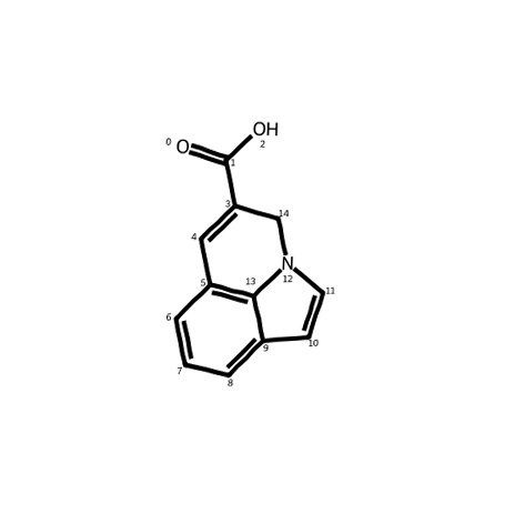 O=C(O)C1=Cc2cccc3ccn(c23)C1